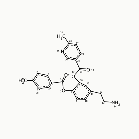 Cc1ccc(C(=O)Oc2ccc(CCN)cc2OC(=O)c2ccc(C)nc2)cn1